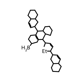 BC1CCC2=C(C1)C(C(C)/C=C\C(CC)C1C=CC3CCCCC3C1)C1CCCCC1C2C1C=CC2CCCCC2C1